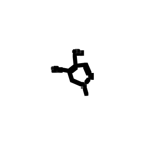 CN1CC(C(C)(C)C)=C(C(C)(C)C)C=N1